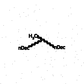 CC=CC=C(CCCCCCCCCCCCCCCCCC)CCCCCCCCCCCCCCCCCC